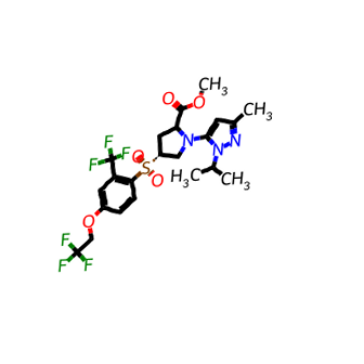 COC(=O)C1C[C@@H](S(=O)(=O)c2ccc(OCC(F)(F)F)cc2C(F)(F)F)CN1c1cc(C)nn1C(C)C